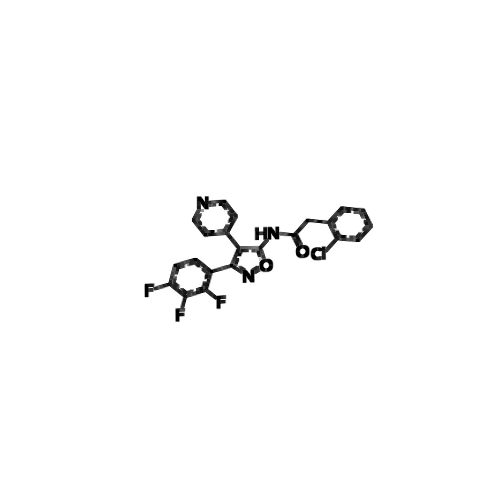 O=C(Cc1ccccc1Cl)Nc1onc(-c2ccc(F)c(F)c2F)c1-c1ccncc1